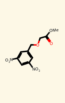 COC(=O)COCc1cc([N+](=O)[O-])cc([N+](=O)[O-])c1